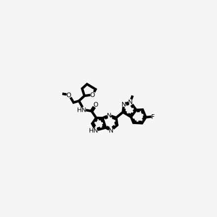 COCC(NC(=O)c1c[nH]c2ncc(-c3nn(C)c4cc(F)ccc34)nc12)C1CCCO1